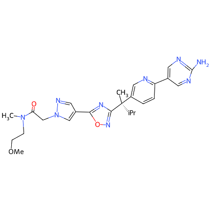 COCCN(C)C(=O)Cn1cc(-c2nc([C@@](C)(c3ccc(-c4cnc(N)nc4)nc3)C(C)C)no2)cn1